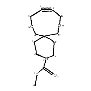 COC(=O)N1CCC2(CC1)COCC#CCOC2